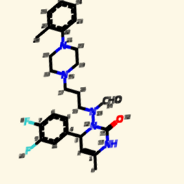 CC1=CC(c2ccc(F)c(F)c2)N(N(C=O)CCCN2CCN(c3ccccc3C)CC2)C(=O)N1